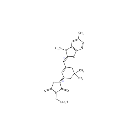 Cc1ccc2c(c1)N(C)/C(=C/C1=CC(=C3\SC(=S)N(CC(=O)O)C3=O)/CC(C)(C)C1)S2